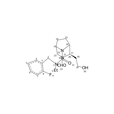 CCN(Cc1ccccc1F)C(=O)N1C2CCC1[C@@H](CCO)N(C=O)C2